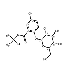 CCCC(C)(CC)OC(=O)c1cc(O)ccc1O[C@@H]1O[C@H](CO)[C@@H](O)[C@H](O)[C@H]1O